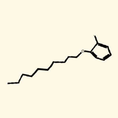 [CH]c1ccccc1OCCCCCCCCCC